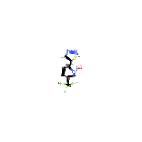 [O-][n+]1cc(C(F)(F)F)ccc1-c1cnns1